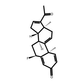 CC(=O)C1=CC[C@H]2[C@@H]3C[C@H](F)C4=CC(=O)C=C[C@]4(C)C3=CC[C@]12C